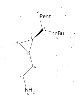 CCCCC(C(C)CCC)[C@@H]1CC1CCN